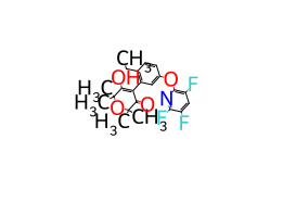 CCc1ccc(Oc2nc(F)c(F)cc2F)cc1C1=C(O)C(C)(C)OC(C)(C)C1=O